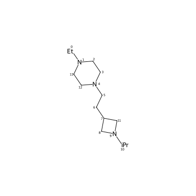 CCN1CCN(CCC2CN(C(C)C)C2)CC1